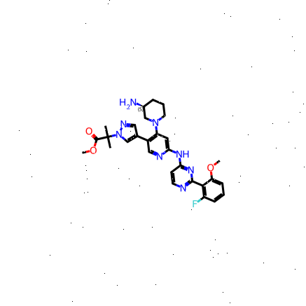 COC(=O)C(C)(C)n1cc(-c2cnc(Nc3ccnc(-c4c(F)cccc4OC)n3)cc2N2CCC[C@H](N)C2)cn1